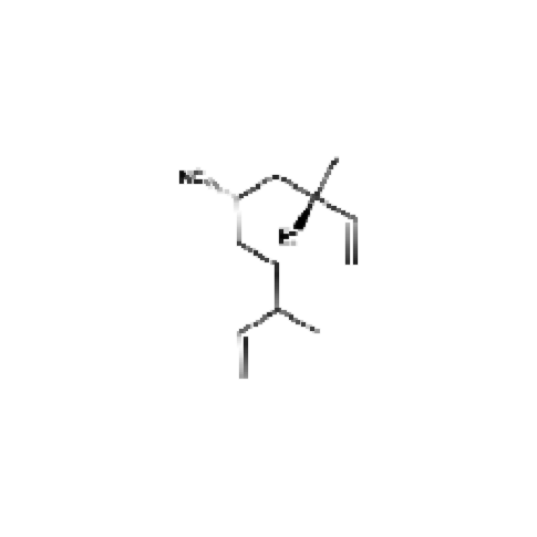 C=CC(C)CC[C@H](C#N)C[C@](C)(C=C)CC